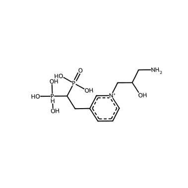 NCC(O)C[n+]1cccc(CC(P(=O)(O)O)[PH](O)(O)O)c1